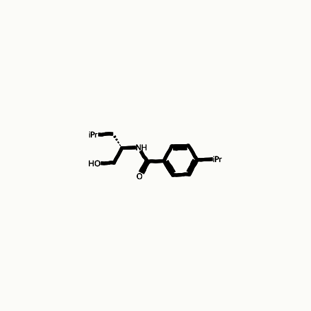 CC(C)C[C@@H](CO)NC(=O)c1ccc(C(C)C)cc1